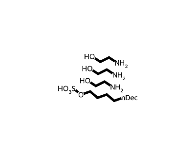 CCCCCCCCCCCCCCOS(=O)(=O)O.NCCO.NCCO.NCCO